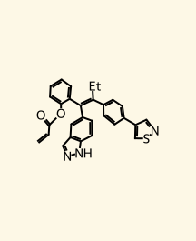 C=CC(=O)Oc1ccccc1/C(=C(\CC)c1ccc(-c2cnsc2)cc1)c1ccc2[nH]ncc2c1